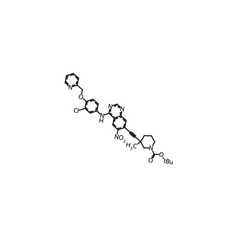 CC1(C#Cc2cc3ncnc(Nc4ccc(OCc5ccccn5)c(Cl)c4)c3cc2[N+](=O)[O-])CCCN(C(=O)OC(C)(C)C)C1